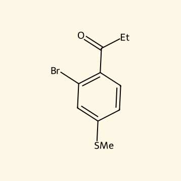 CCC(=O)c1ccc(SC)cc1Br